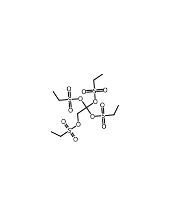 CCS(=O)(=O)OCC(OS(=O)(=O)CC)(OS(=O)(=O)CC)OS(=O)(=O)CC